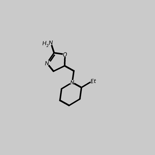 CCC1CCCCN1CC1CN=C(N)O1